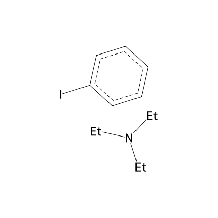 CCN(CC)CC.Ic1ccccc1